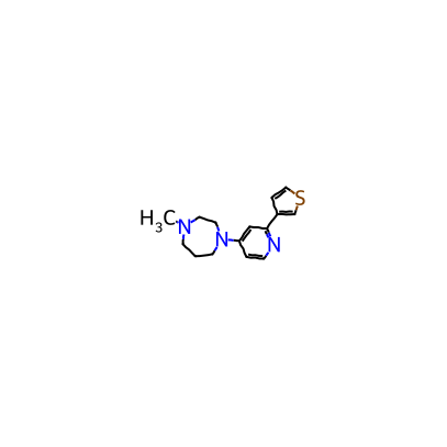 CN1CCCN(c2ccnc(-c3ccsc3)c2)CC1